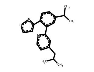 CC(C)Cc1ccnc(-c2cc(C(C)C)ccc2-c2ccon2)c1